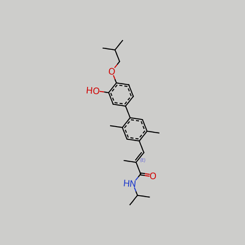 C/C(=C\c1cc(C)c(-c2ccc(OCC(C)C)c(O)c2)cc1C)C(=O)NC(C)C